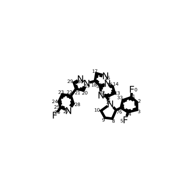 Fc1ccc(F)c(C2CCCN2c2ccn3ncc(-n4cc(-c5ccc(F)nc5)cn4)c3n2)c1